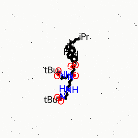 CC(C)CCC[C@@H](C)[C@H]1CC[C@H]2[C@@H]3CC=C4C[C@@H](OC(=O)CCC(=O)N(CCCCNCCC(C)NC(=O)OC(C)(C)C)CCC(C)NC(=O)OC(C)(C)C)CCC4(C)[C@H]3CC[C@]12C